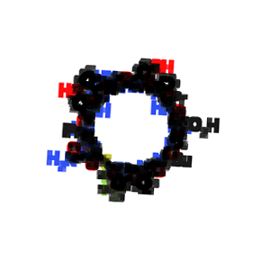 CCCC[C@H]1C(=O)N2CCC[C@@H]2C(=O)N[C@@H](CC(=O)O)C(=O)N[C@@H](C(C)C)C(=O)N(C)[C@@H](Cc2ccccc2)C(=O)N[C@@H](Cc2ccc(O)cc2)C(=O)N2CCNC[C@@H]2C(=O)N[C@@H](Cc2c[nH]c3ccccc23)C(=O)N[C@@H](Cc2ccc(O)cc2)C(=O)N[C@@H](CC(C)C)C(=O)N[C@H](C(=O)NCC(N)=O)CSCC(=O)N[C@@H](Cc2cc(F)c(F)c(F)c2)C(=O)N(C)[C@@H](Cc2ccccc2)C(=O)N1C